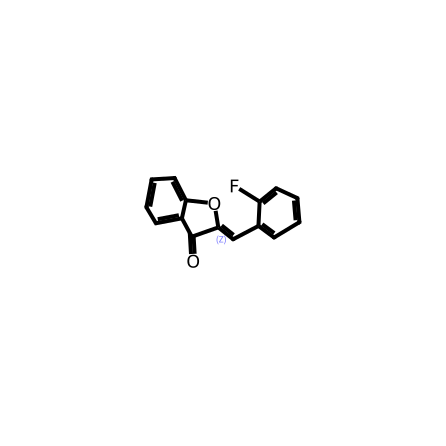 O=C1/C(=C/c2ccccc2F)Oc2ccccc21